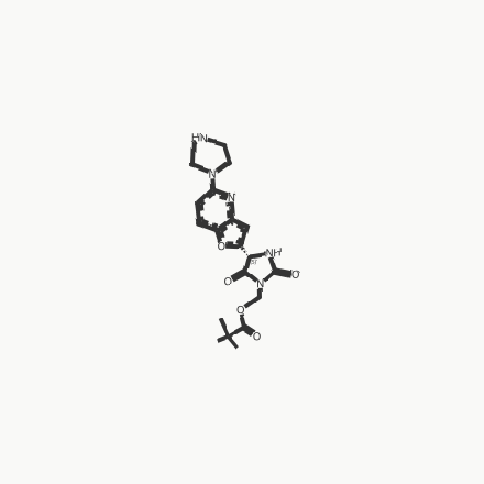 CC(C)(C)C(=O)OCN1C(=O)N[C@@H](c2cc3nc(N4CCNCC4)ccc3o2)C1=O